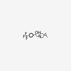 CC1CC12CCN(CC(O)c1ccc(C(F)(F)F)cc1)CC2